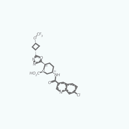 O=C(N[C@H]1CC[C@H](c2nnc([C@H]3C[C@@H](OC(F)(F)F)C3)o2)N(C(=O)O)C1)c1cnc2cc(Cl)ccc2c1